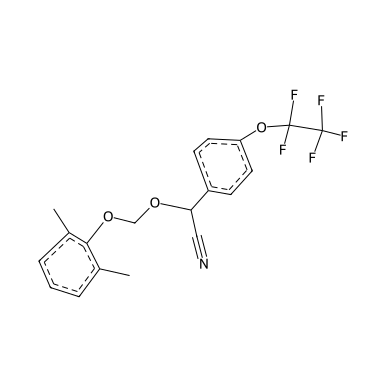 Cc1cccc(C)c1OCOC(C#N)c1ccc(OC(F)(F)C(F)(F)F)cc1